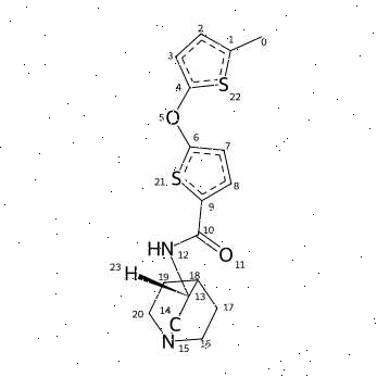 Cc1ccc(Oc2ccc(C(=O)N[C@H]3CN4CCC3CC4)s2)s1